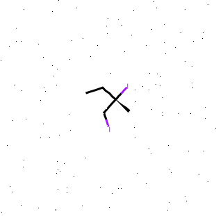 CC[C@](C)(I)CI